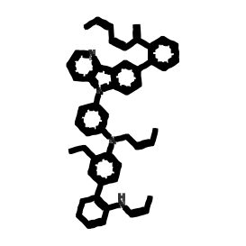 C=C(/C=C\C=C/C)c1ccccc1-c1ccc2c(c1)c1ncccc1n2-c1cccc(N(C/C=C\C)c2ccc(C3=C(N/C=C\C)C=CCC3)cc2CC)c1